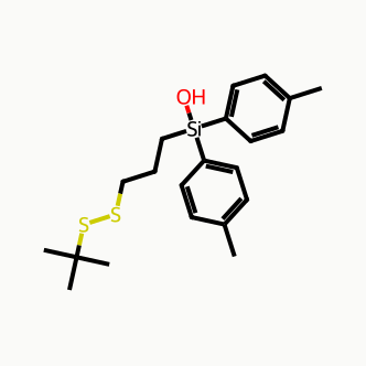 Cc1ccc([Si](O)(CCCSSC(C)(C)C)c2ccc(C)cc2)cc1